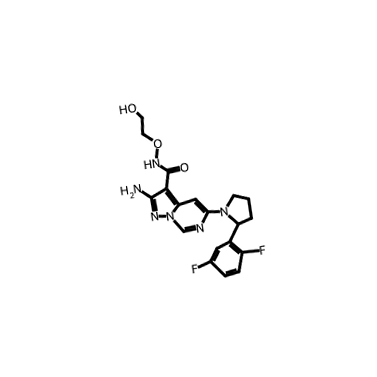 Nc1nn2cnc(N3CCCC3c3cc(F)ccc3F)cc2c1C(=O)NOCCO